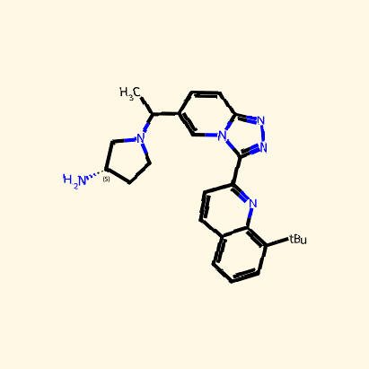 CC(c1ccc2nnc(-c3ccc4cccc(C(C)(C)C)c4n3)n2c1)N1CC[C@H](N)C1